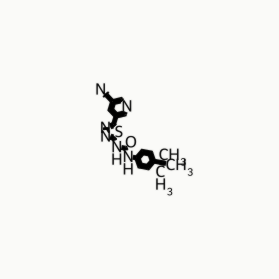 CC(C)(C)c1ccc(NC(=O)Nc2nnc(-c3cncc(C#N)c3)s2)cc1